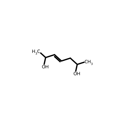 CC(O)/C=C/CC(C)O